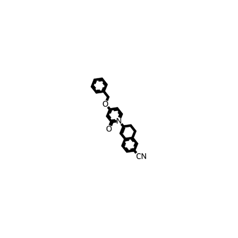 N#Cc1ccc2c(c1)CCC(n1ccc(OCc3ccccc3)cc1=O)=C2